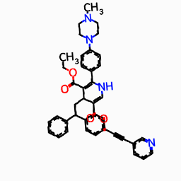 CCOC(=O)C1=C(c2ccc(N3CCN(C)CC3)cc2)NC=C(C(=O)OCC#Cc2cccnc2)C1CC(c1ccccc1)c1ccccc1